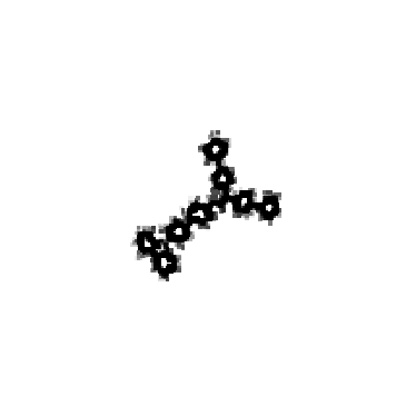 c1ccc(-c2ccc(C(CCc3ccc(-c4ccc(-n5c6ccccc6c6ccccc65)cc4)cc3)c3ccc(-c4ccccc4)cc3)cc2)cc1